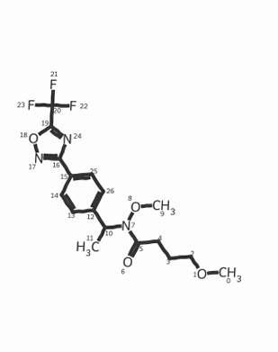 COCCCC(=O)N(OC)C(C)c1ccc(-c2noc(C(F)(F)F)n2)cc1